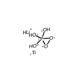 OP1(O)(O)OO1.[LiH].[Ti]